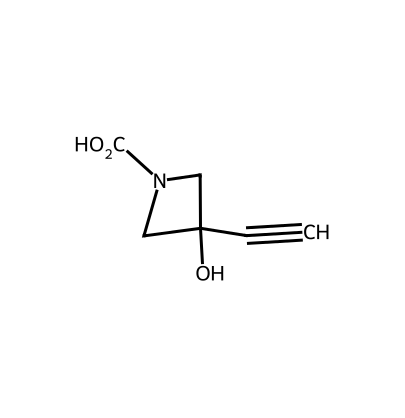 C#CC1(O)CN(C(=O)O)C1